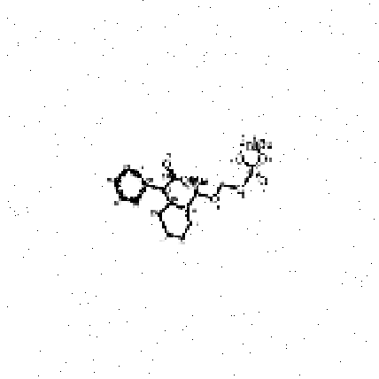 CCCCOP(=O)(OCCCC)OCOC(=O)N1CCCCC1C(C(=O)OC)c1ccccc1